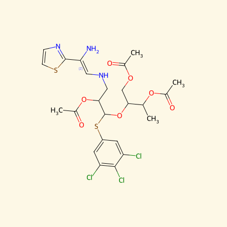 CC(=O)OCC(OC(Sc1cc(Cl)c(Cl)c(Cl)c1)C(CN/C=C(\N)c1nccs1)OC(C)=O)C(C)OC(C)=O